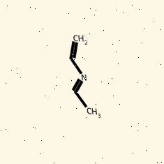 C=C/N=C/C